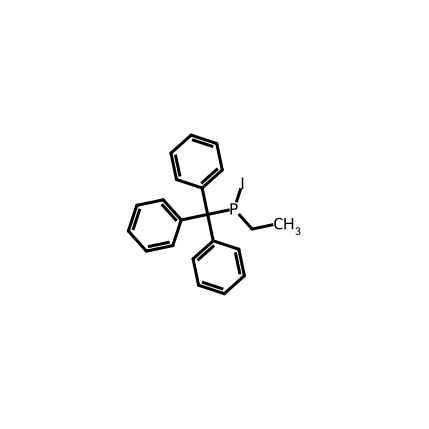 CCP(I)C(c1ccccc1)(c1ccccc1)c1ccccc1